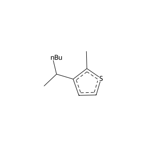 CCCCC(C)c1ccsc1C